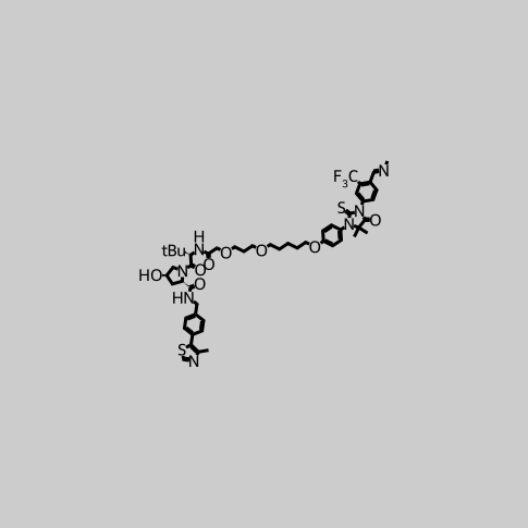 C/N=C/c1ccc(N2C(=O)C(C)(C)N(c3ccc(OCCCCCOCCCOCC(=O)N[C@H](C(=O)N4C[C@H](O)C[C@H]4C(=O)NCc4ccc(-c5scnc5C)cc4)C(C)(C)C)cc3)C2=S)cc1C(F)(F)F